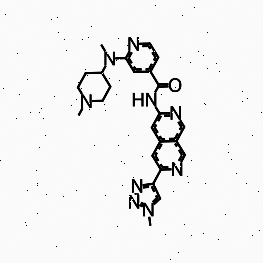 CN1CCC(N(C)c2cc(C(=O)Nc3cc4cc(-c5cn(C)nn5)ncc4cn3)ccn2)CC1